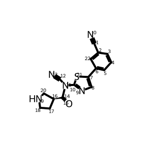 N#Cc1cccc(-c2cnc(N(C#N)C(=O)[C@H]3CCNC3)s2)c1